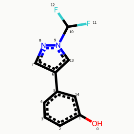 Oc1cccc(-c2cnn(C(F)F)c2)c1